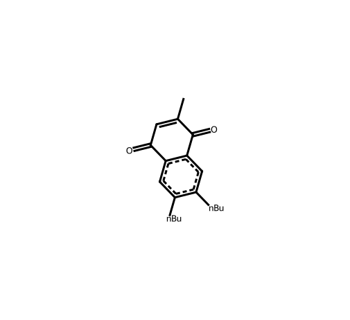 CCCCc1cc2c(cc1CCCC)C(=O)C(C)=CC2=O